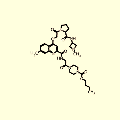 CCCCOC(=O)N1CCN(C(=O)CNC(=O)c2cc(OCC(=O)N3CCCC3C(=O)NC3CN(C)C3)c3ccc(C)cc3n2)CC1